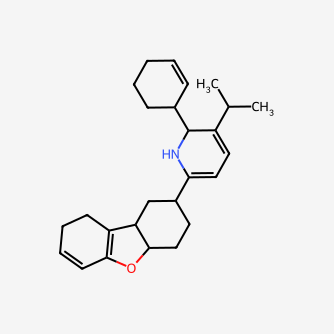 CC(C)C1=CC=C(C2CCC3OC4=C(CCC=C4)C3C2)NC1C1C=CCCC1